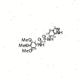 COc1cc(NC(=O)CC(=O)Nc2ccc3cn[nH]c3c2)cc(OC)c1OC